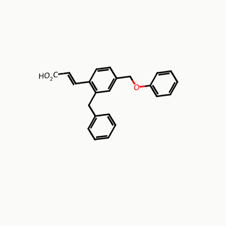 O=C(O)C=Cc1ccc(COc2ccccc2)cc1Cc1ccccc1